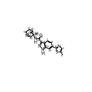 Cc1cnc(-c2ccc3c(C(=O)N[C@H]4CN5CCC4CC5)n[nH]c3c2)s1